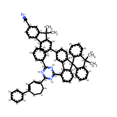 CC1(C)c2cc(C#N)ccc2-c2ccc(-c3ccc4c(c3)-c3c(-c5nc(C6=CC=C(c7ccccc7)CCC6)nc(-c6ccccc6)n5)cccc3C43c4ccccc4C(C)(C)c4ccccc43)cc21